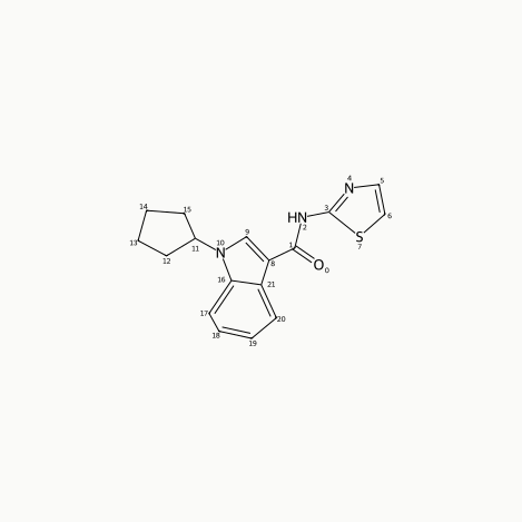 O=C(Nc1nccs1)c1cn(C2CCCC2)c2ccccc12